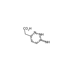 N=c1ccc(CC(=O)O)n[nH]1